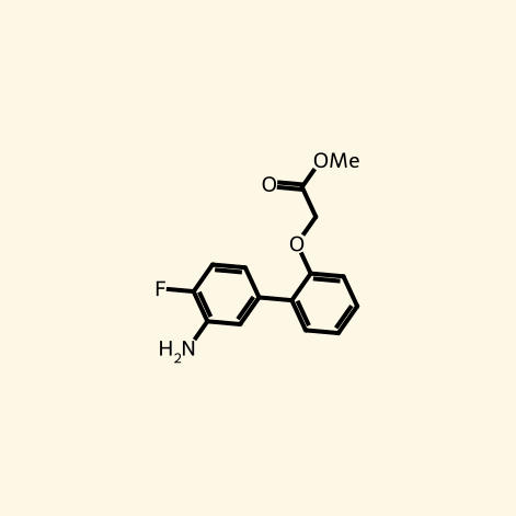 COC(=O)COc1ccccc1-c1ccc(F)c(N)c1